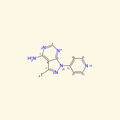 Nc1ncnc2c1c(I)nn2-c1ccncc1